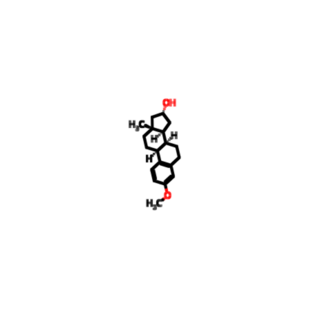 COc1ccc2c(c1)CC[C@H]1[C@@H]2CC[C@]2(C)C[C@H](O)C[C@@H]12